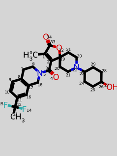 CC1=C(C(=O)N2CCc3ccc(C(C)(F)F)cc3C2)C2(CCN(C3CCC(O)CC3)CC2)OC1=O